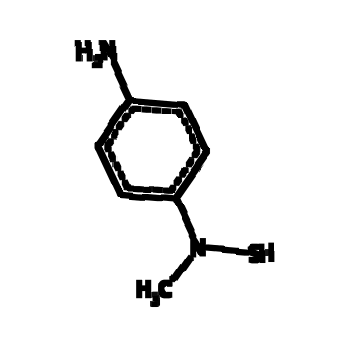 CN(S)c1ccc(N)cc1